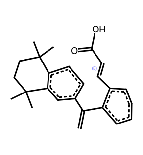 C=C(c1ccc2c(c1)C(C)(C)CCC2(C)C)c1ccccc1/C=C/C(=O)O